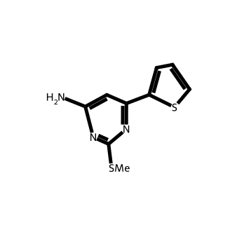 CSc1nc(N)cc(-c2cccs2)n1